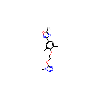 Cc1cc(-c2noc(C(F)(F)F)n2)cc(C)c1OCCOc1nnnn1C